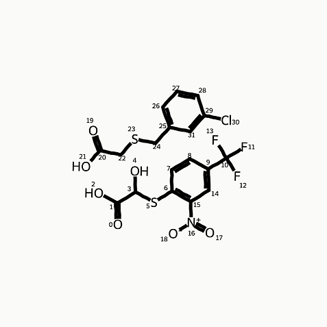 O=C(O)C(O)Sc1ccc(C(F)(F)F)cc1[N+](=O)[O-].O=C(O)CSCc1cccc(Cl)c1